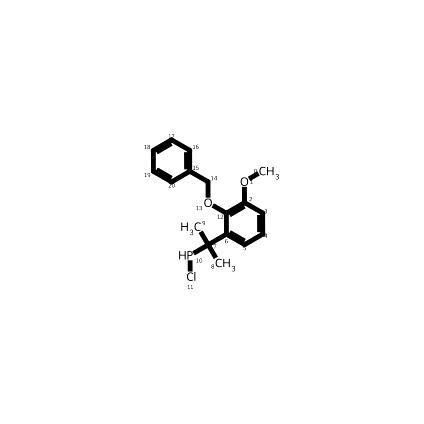 COc1cccc(C(C)(C)PCl)c1OCc1ccccc1